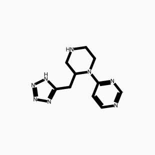 [c]1nccc(N2CCNCC2Cc2nnn[nH]2)n1